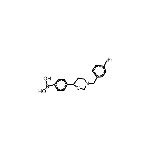 CC(C)c1ccc(CN2CCC(c3ccc(B(O)O)cc3)CC2)cc1